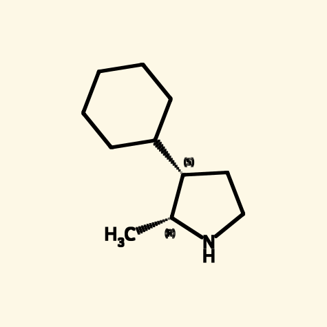 C[C@H]1NCC[C@H]1C1CCCCC1